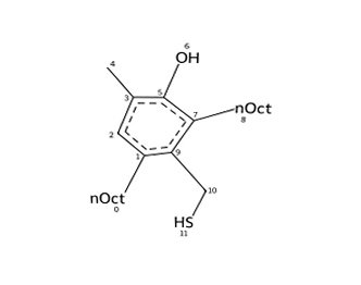 CCCCCCCCc1cc(C)c(O)c(CCCCCCCC)c1CS